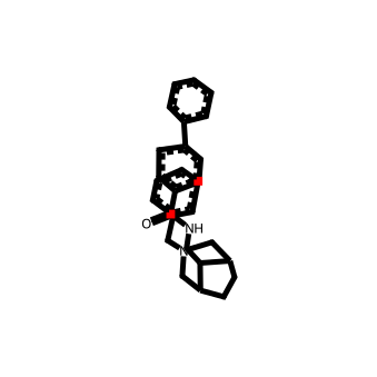 O=C(NCC1C2CCC1CN(Cc1ccccc1)C2)c1ccc(-c2ccccc2)cc1